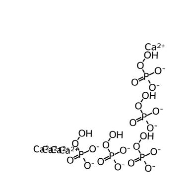 O=P([O-])([O-])OO.O=P([O-])([O-])OO.O=P([O-])([O-])OO.O=P([O-])([O-])OO.O=P([O-])([O-])OO.[Ca+2].[Ca+2].[Ca+2].[Ca+2].[Ca+2]